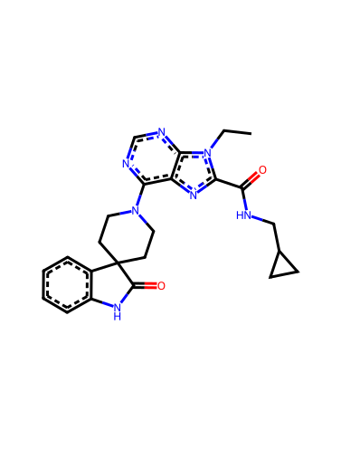 CCn1c(C(=O)NCC2CC2)nc2c(N3CCC4(CC3)C(=O)Nc3ccccc34)ncnc21